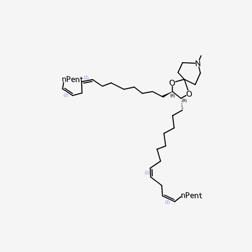 CCCCC/C=C\C/C=C\CCCCCCC[C@H]1OC2(CCN(C)CC2)O[C@@H]1CCCCCCC/C=C\C/C=C\CCCCC